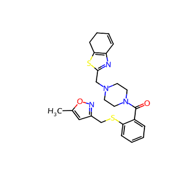 Cc1cc(CSc2ccccc2C(=O)N2CCN(Cc3nc4c(s3)CCC=C4)CC2)no1